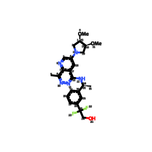 CO[C@H]1CN(c2cnc3c(C)nnc(N[C@H](C)c4cccc(C(F)(F)CO)c4)c3c2)C[C@H]1OC